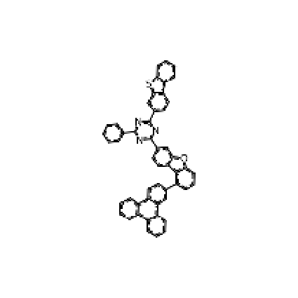 c1ccc(-c2nc(-c3ccc4c(c3)oc3cccc(-c5ccc6c7ccccc7c7ccccc7c6c5)c34)nc(-c3ccc4c(c3)sc3ccccc34)n2)cc1